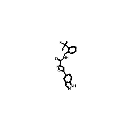 O=C(NCc1ccccc1C(F)(F)F)c1cc(-c2ccc3[nH]ncc3c2)on1